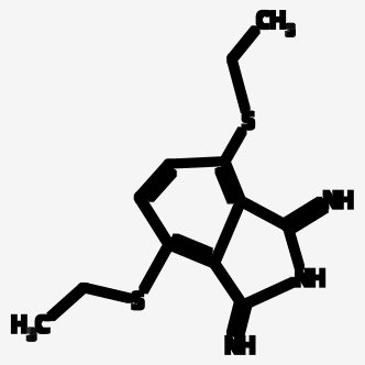 CCSc1ccc(SCC)c2c1C(=N)NC2=N